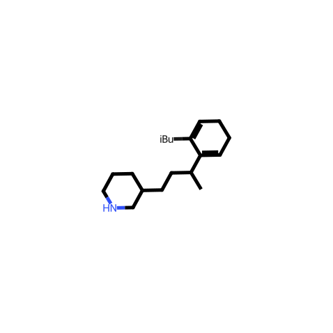 CCC(C)C1=CCCC=C1C(C)CCC1CCCNC1